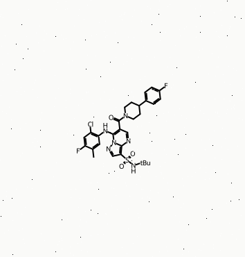 Cc1cc(Nc2c(C(=O)N3CCC(c4ccc(F)cc4)CC3)cnc3c(S(=O)(=O)NC(C)(C)C)cnn23)c(Cl)cc1F